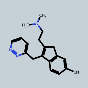 CN(C)CCC1=C(Cc2cccnn2)c2ccc(C#N)cc2C1